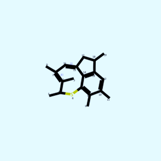 CC1=C(/C)C(C)Sc2c(C)c(C)cc3c2/C(=C\1)CC3C